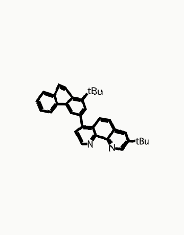 CC(C)(C)c1cnc2c(ccc3c(-c4cc(C(C)(C)C)c5ccc6ccccc6c5c4)ccnc32)c1